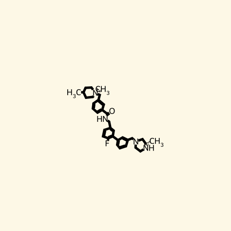 CC1CC[N+](C)(Cc2cccc(C(=O)NCc3ccc(F)c(-c4cccc(CN5CCN[C@@H](C)C5)c4)c3)c2)CC1